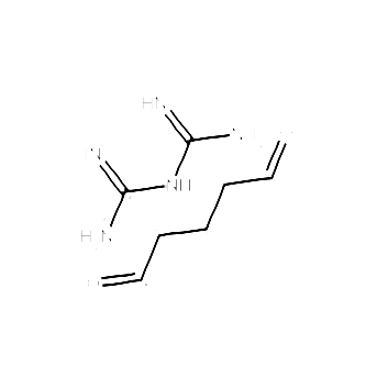 N=C(N)NC(=N)N.O=CCCCC=O